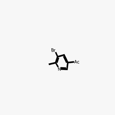 CC(=O)c1cnc(C)c(Br)c1